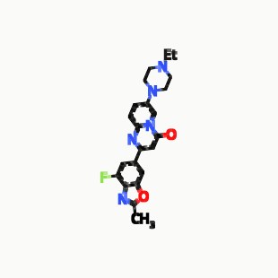 CCN1CCN(c2ccc3nc(-c4cc(F)c5nc(C)oc5c4)cc(=O)n3c2)CC1